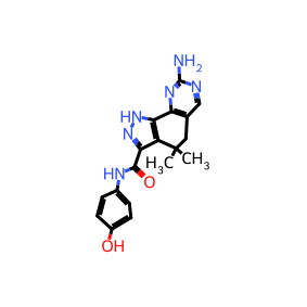 CC1(C)Cc2cnc(N)nc2-c2[nH]nc(C(=O)Nc3ccc(O)cc3)c21